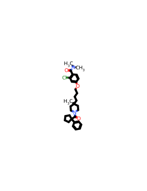 CN(C)C(=O)c1ccc(OCCCCC2(C)CCN(C(=O)C3(c4ccccc4)CCCC3)CC2)cc1Cl